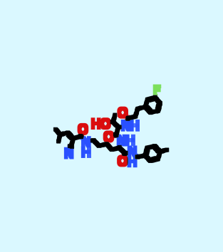 Cc1ccc(CNC(=O)C(CCCCNC(=O)C(C#N)=CC(C)C)NC(=O)C(NC(=O)CCc2cccc(F)c2)C(C)O)cc1